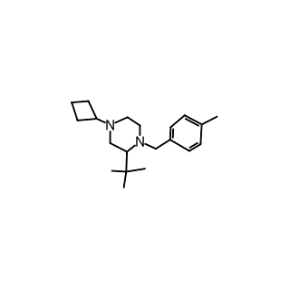 Cc1ccc(CN2CCN(C3CCC3)CC2C(C)(C)C)cc1